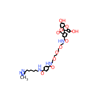 Cn1cc(CCCCCCNC(=O)c2ccc(C(=O)NCCOCCOCCOCCNC(=O)c3ccc4c(c3)C(=O)OC43c4ccc(O)cc4Oc4cc(O)ccc43)cc2)nn1